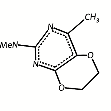 CNc1nc(C)c2c(n1)OCCO2